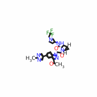 CC(=O)c1nn(CC(=O)N2[C@@H]3C[C@@H]3C[C@H]2C(=O)NC2CCN(CC(F)(F)F)C2)c2ccc(-c3cnc(C)nc3)cc12